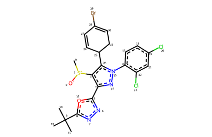 C[S+]([O-])c1c(-c2nnc(C(C)(C)C)o2)nn(-c2ccc(Cl)cc2Cl)c1C1C=CC(Br)=CC1